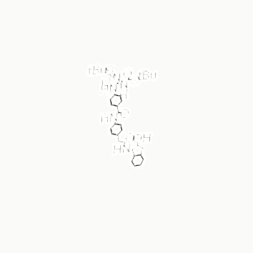 CC(C)(C)OC(=O)/N=C(/NC(=O)OC(C)(C)C)Nc1ccc(C(=O)Nc2ccc(CC(=O)N[C@H]3c4ccccc4C[C@H]3O)cc2)cc1